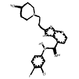 N=C(c1ccnc2nc(CCN3CCC(O)CC3)[nH]c12)N(O)c1ccc(F)c(Cl)c1